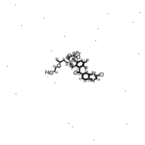 CCCS(=O)(=O)N(c1cc(F)c(F)c(C(=O)c2ccc3ncc(Cl)nc3c2)c1F)S(=O)(=O)CCC(C)OCCO